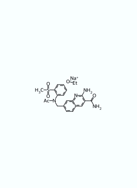 CC(=O)N(Cc1ccc2cc(C(N)=O)c(N)nc2c1)c1ccccc1S(C)(=O)=O.CC[O-].[Na+]